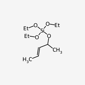 CC=CC(C)O[Si](OCC)(OCC)OCC